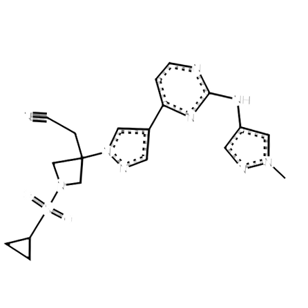 Cn1cc(Nc2nccc(-c3cnn(C4(CC#N)CN(S(=O)(=O)C5CC5)C4)c3)n2)cn1